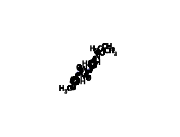 COc1ccc(/C=c2\[nH]c(=O)/c(=C/c3ccc(CNC(=O)OC(C)(C)C)cc3)[nH]c2=O)cc1